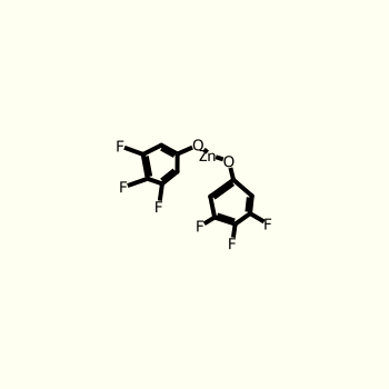 Fc1cc([O][Zn][O]c2cc(F)c(F)c(F)c2)cc(F)c1F